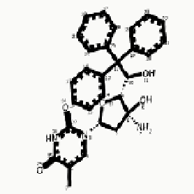 Cc1cn([C@H]2C[C@](N)(O)[C@@H](C(O)C(c3ccccc3)(c3ccccc3)c3ccccc3)O2)c(=O)[nH]c1=O